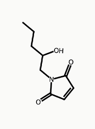 CCCC(O)CN1C(=O)C=CC1=O